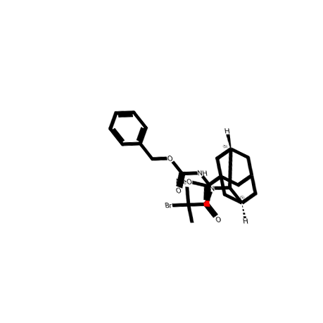 COC(=O)C12CC3C[C@@H](C1)C(N(NC(=O)OCc1ccccc1)C(=O)C(C)(C)Br)[C@@H](C3)C2